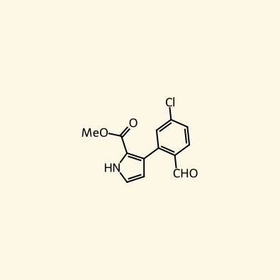 COC(=O)c1[nH]ccc1-c1cc(Cl)ccc1C=O